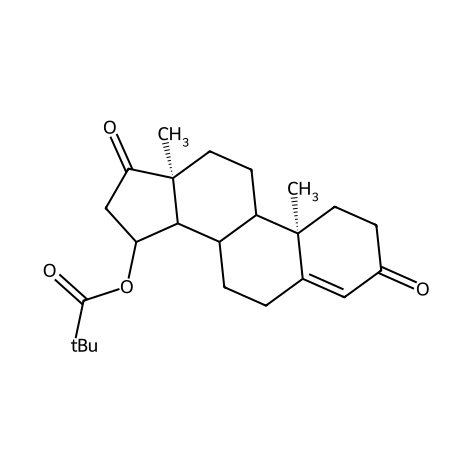 CC(C)(C)C(=O)OC1CC(=O)[C@@]2(C)CCC3C(CCC4=CC(=O)CC[C@@]43C)C12